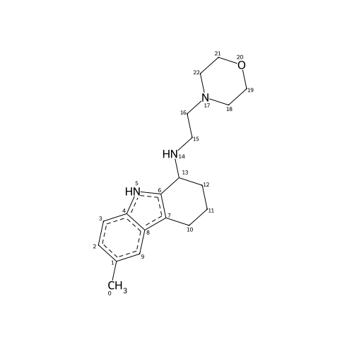 Cc1ccc2[nH]c3c(c2c1)CCCC3NCCN1CCOCC1